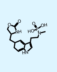 CN(CCc1c[nH]c2c1=CC(CC1COC(=O)N1)CC=2)P(=O)(O)O